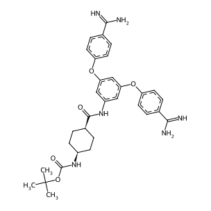 CC(C)(C)OC(=O)N[C@H]1CC[C@@H](C(=O)Nc2cc(Oc3ccc(C(=N)N)cc3)cc(Oc3ccc(C(=N)N)cc3)c2)CC1